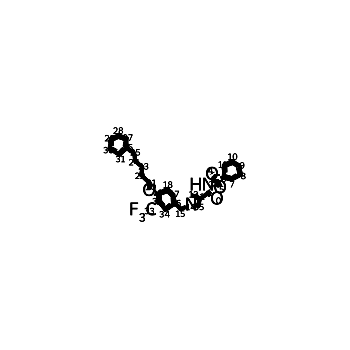 O=C(NS(=O)(=O)c1ccccc1)C1CN(Cc2ccc(OCCCCCc3ccccc3)c(C(F)(F)F)c2)C1